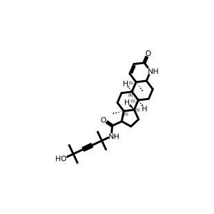 CC(C)(O)C#CC(C)(C)NC(=O)C1CC[C@H]2[C@@H]3CCC4NC(=O)C=C[C@]4(C)[C@@H]3CC[C@]12C